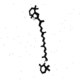 C\C(C=C=C1C(C)CCCC1(C)C)=C/C=C/C(C)=C/C=C/C=C(C)/C=C/C=C(\C)C1C=C2C(C)(C)CCCC2(C)O1